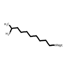 CCCCCCCCCCCCCCCC(C)P